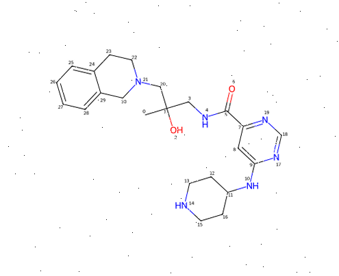 CC(O)(CNC(=O)c1cc(NC2CCNCC2)ncn1)CN1CCc2ccccc2C1